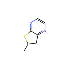 CC1Cc2nccnc2S1